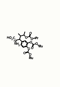 CCC(C)OC(=O)Oc1ccc(C(C(C)C(C)OC(=O)OC(C)C)[C@H](N)C(=O)O)cc1OC(=O)OC(C)CC